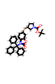 CC(C)(C)OC(=O)N1CCC(Sc2ccc3c(c2)oc(=O)n3C(c2ccccc2)(c2ccccc2)c2ccccc2)C1